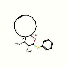 CO[C@@H]1[C@@H](OC)[C@@H]2CCCC/C=C\CCCCC[C@H]2O[C@H]1Sc1ccccc1